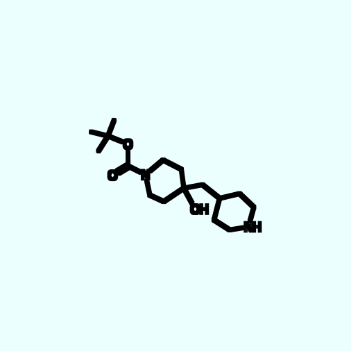 CC(C)(C)OC(=O)N1CCC(O)(CC2CCNCC2)CC1